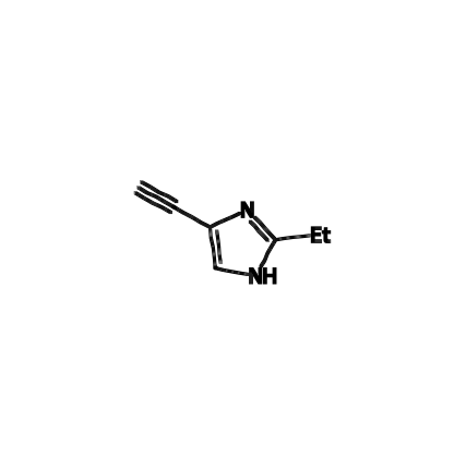 C#Cc1c[nH]c(CC)n1